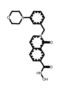 O=C(NO)c1ccc2ccn(Cc3cccc(N4CCOCC4)c3)c(=O)c2c1